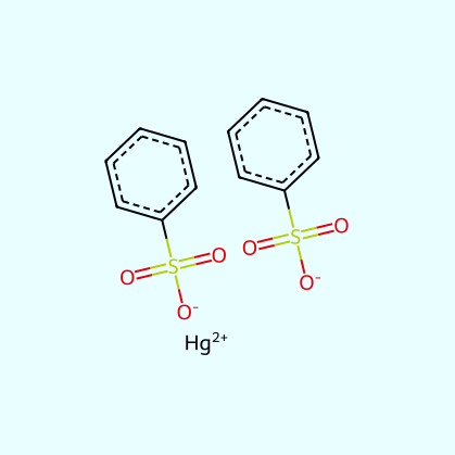 O=S(=O)([O-])c1ccccc1.O=S(=O)([O-])c1ccccc1.[Hg+2]